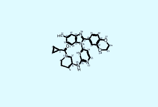 O=C(C1CC1)N1CCC[C@H](Nc2nccc(-n3c(-c4ccc5c(c4)OCCO5)nc4cc(O)ccc43)n2)C1